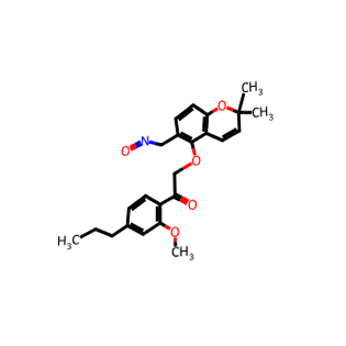 CCCc1ccc(C(=O)COc2c(CN=O)ccc3c2C=CC(C)(C)O3)c(OC)c1